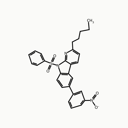 CCCCCc1ccc2c3cc(-c4cccc([N+](=O)[O-])c4)ccc3n(S(=O)(=O)c3ccccc3)c2n1